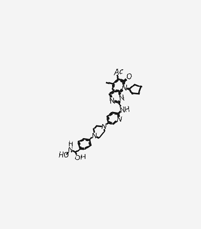 CC(=O)c1c(C)c2cnc(Nc3ccc(N4CCN(c5ccc(C(O)NO)cc5)CC4)cn3)nc2n(C2CCCC2)c1=O